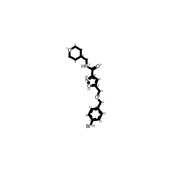 O=C(NCC1CCOCC1)c1cc(COCc2ccc(Br)cc2)on1